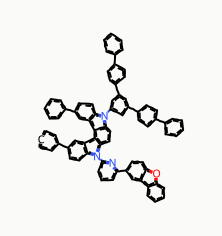 c1ccc(-c2ccc(-c3cc(-c4ccc(-c5ccccc5)cc4)cc(-n4c5ccc(-c6ccccc6)cc5c5c6c7cc(-c8ccccc8)ccc7n(-c7cccc(-c8ccc9oc%10ccccc%10c9c8)n7)c6ccc54)c3)cc2)cc1